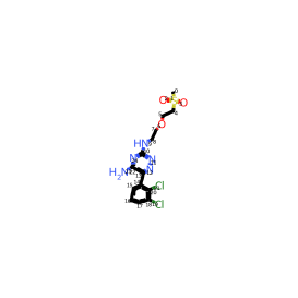 CS(=O)(=O)CCOCCNc1nnc(-c2cccc(Cl)c2Cl)c(N)n1